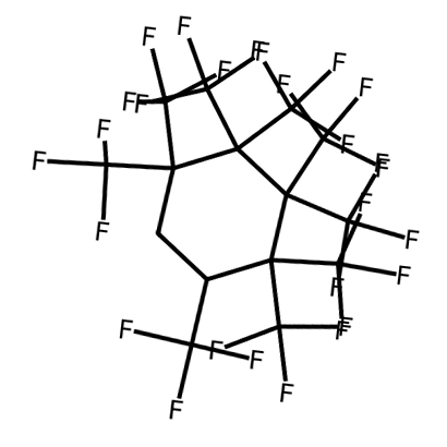 FC(F)(F)C1CC(C(F)(F)F)(C(F)(F)F)C(C(F)(F)F)(C(F)(F)F)C(C(F)(F)F)(C(F)(F)F)C1(C(F)(F)F)C(F)(F)F